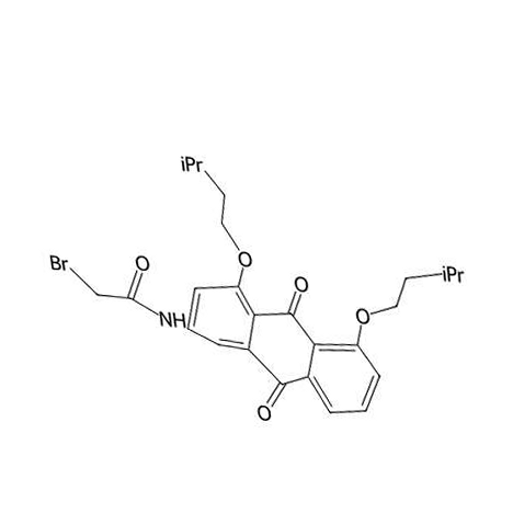 CC(C)CCOc1cccc2c1C(=O)c1c(OCCC(C)C)cc(NC(=O)CBr)cc1C2=O